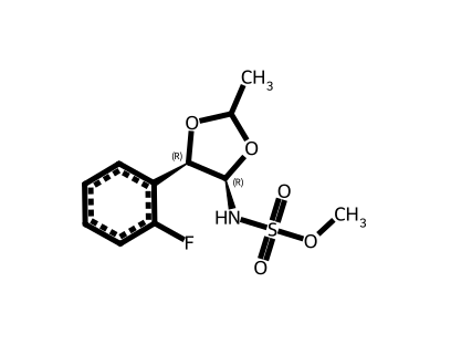 COS(=O)(=O)N[C@@H]1OC(C)O[C@@H]1c1ccccc1F